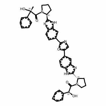 C[C@@](O)(C(=O)N1CCC[C@H]1c1nc2ccc(-c3ncc(-c4ccc5[nH]c([C@@H]6CCCN6C(=O)[C@@H](O)c6ccccc6)nc5c4)o3)cc2[nH]1)c1ccccc1